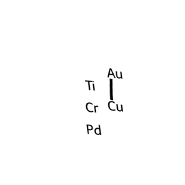 [Cr].[Cu][Au].[Pd].[Ti]